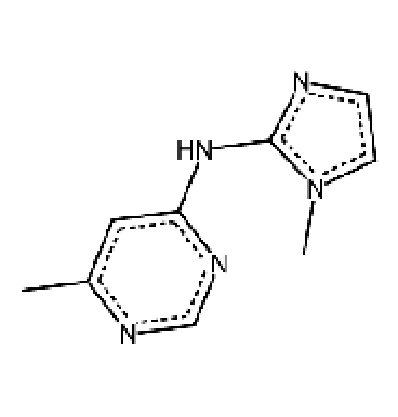 Cc1cc(Nc2nccn2C)ncn1